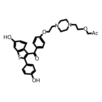 CC(=O)COCCN1CCN(CCOc2ccc(C(=O)c3c(-c4ccc(O)cc4)sc4cc(O)ccc34)cc2)CC1